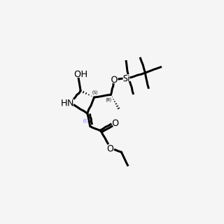 CCOC(=O)/C=C1/NC(O)[C@@H]1[C@@H](C)O[Si](C)(C)C(C)(C)C